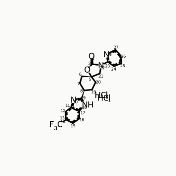 Cl.Cl.O=C1O[C@]2(CC[C@H](c3nc4cc(C(F)(F)F)ccc4[nH]3)CC2)CN1c1ccccn1